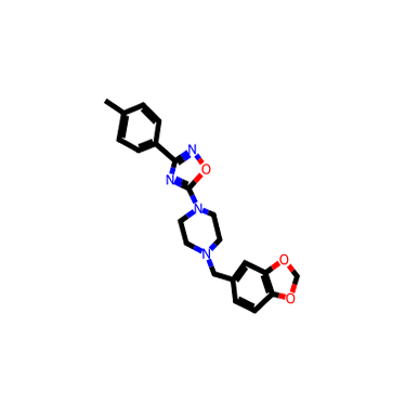 Cc1ccc(-c2noc(N3CCN(Cc4ccc5c(c4)OCO5)CC3)n2)cc1